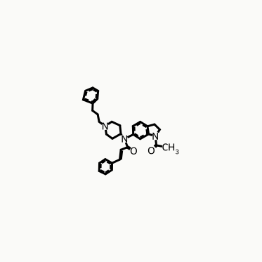 CC(=O)N1CCc2ccc(N(C(=O)C=Cc3ccccc3)C3CCN(CCCc4ccccc4)CC3)cc21